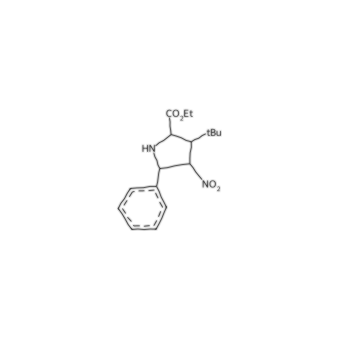 CCOC(=O)C1NC(c2ccccc2)C([N+](=O)[O-])C1C(C)(C)C